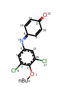 CCCCOc1c(Cl)cc(N=C2C=CC(=O)C=C2)cc1Cl